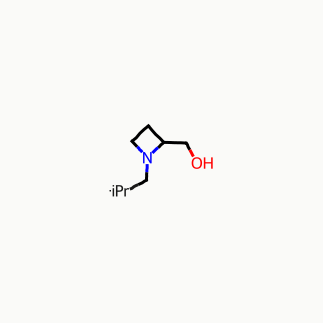 C[C](C)CN1CCC1CO